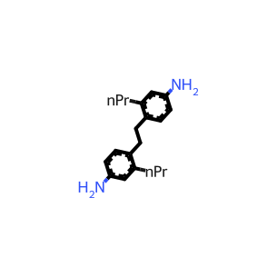 CCCc1cc(N)ccc1CCc1ccc(N)cc1CCC